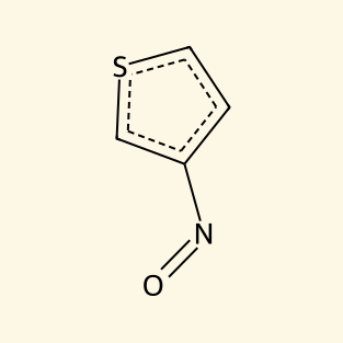 O=Nc1ccsc1